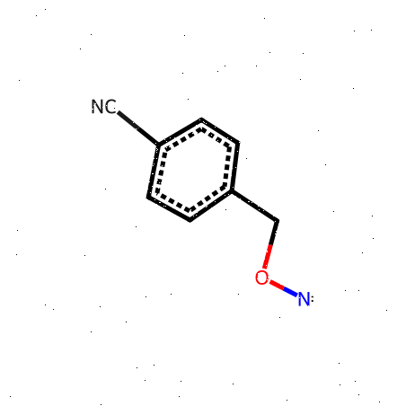 [N]OCc1ccc(C#N)cc1